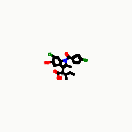 CCC(C)[C@@H](C(=O)O)c1c(C)n(C(=O)c2ccc(Br)cc2)c2cc(Cl)c(O)cc12